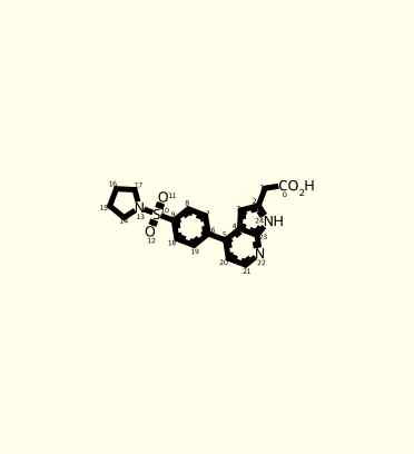 O=C(O)Cc1cc2c(-c3ccc(S(=O)(=O)N4CCCC4)cc3)ccnc2[nH]1